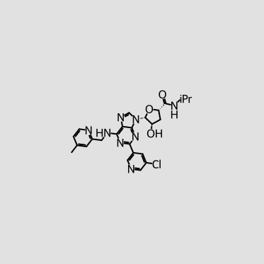 Cc1ccnc(CNc2nc(-c3cncc(Cl)c3)nc3c2ncn3[C@@H]2O[C@H](C(=O)NC(C)C)C[C@H]2O)c1